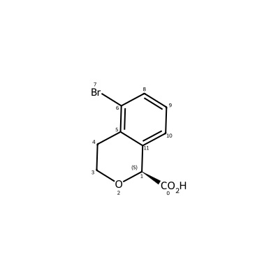 O=C(O)[C@H]1OCCc2c(Br)cccc21